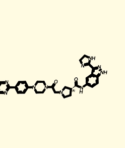 O=C(Nc1ccc2[nH]nc(C3=NCCN3)c2c1)[C@@H]1CCN(CC(=O)N2CCN(c3ccc(-c4ncccn4)cc3)CC2)C1